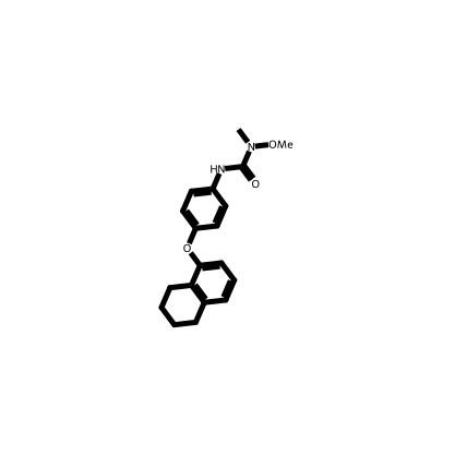 CON(C)C(=O)Nc1ccc(Oc2cccc3c2CCCC3)cc1